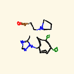 Cc1ncnn1-c1ccc(Cl)c(Cl)c1.O=S=CCN1CCCC1